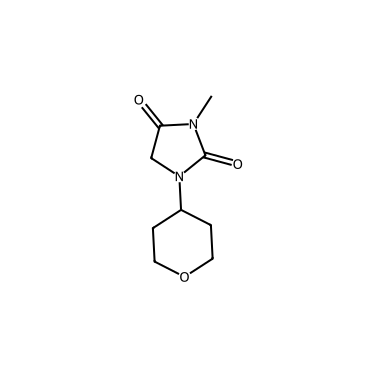 CN1C(=O)CN(C2CCOCC2)C1=O